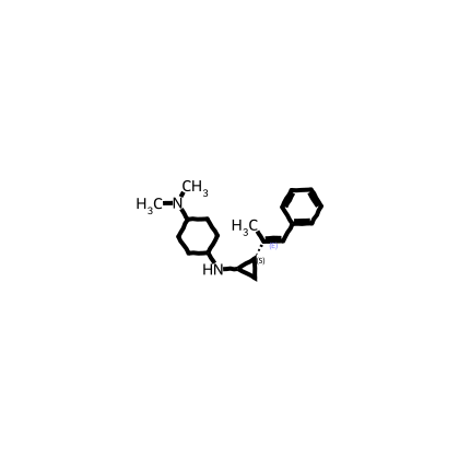 C/C(=C\c1ccccc1)[C@@H]1CC1NC1CCC(N(C)C)CC1